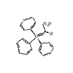 [2H]C(C(=O)OCC)=P(c1ccccc1)(c1ccccc1)c1ccccc1